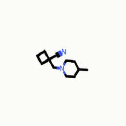 CC1CCN(CC2(C#N)CCC2)CC1